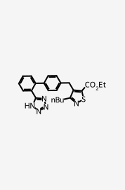 CCCCc1nsc(C(=O)OCC)c1Cc1ccc(-c2ccccc2-c2nnn[nH]2)cc1